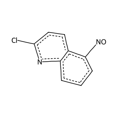 O=Nc1cccc2nc(Cl)ccc12